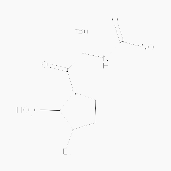 CCC1CCN(C(=O)[C@@H](NC(=O)N=O)C(C)(C)C)C1C(=O)O